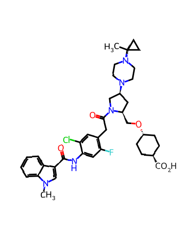 Cn1cc(C(=O)Nc2cc(F)c(CC(=O)N3C[C@@H](N4CCN(C5(C)CC5)CC4)C[C@H]3CO[C@H]3CC[C@H](C(=O)O)CC3)cc2Cl)c2ccccc21